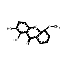 COc1cccc2c(=O)c3c(O)c(O)ccc3oc12